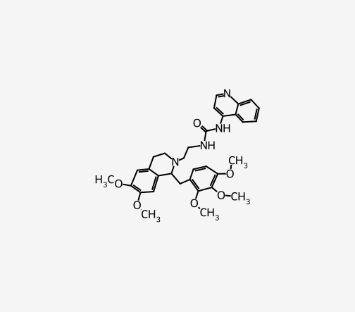 COc1cc2c(cc1OC)C(Cc1ccc(OC)c(OC)c1OC)N(CCNC(=O)Nc1ccnc3ccccc13)CC2